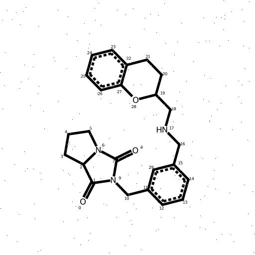 O=C1C2CCCN2C(=O)N1Cc1cccc(CNCC2CCc3ccccc3O2)c1